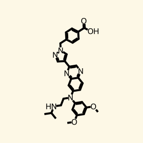 COc1cc(OC)cc(N(CCNC(C)C)c2ccc3ncc(-c4cnn(Cc5ccc(C(=O)O)cc5)c4)nc3c2)c1